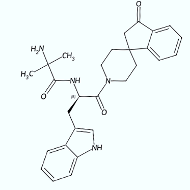 CC(C)(N)C(=O)N[C@H](Cc1c[nH]c2ccccc12)C(=O)N1CCC2(CC1)CC(=O)c1ccccc12